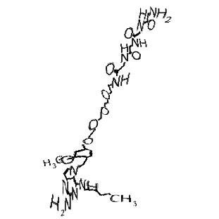 CCCCCNc1nc(N)nc2ccn(Cc3ccc(COCCOCCOCCOCCNC(=O)CNC(=O)CNC(=O)CNC(=O)CN)cc3OC)c12